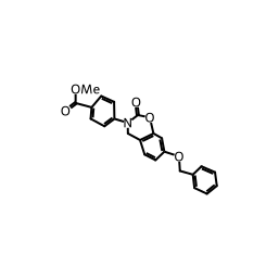 COC(=O)c1ccc(N2Cc3ccc(OCc4ccccc4)cc3OC2=O)cc1